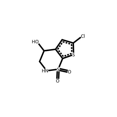 O=S1(=O)NCC(O)c2cc(Cl)sc21